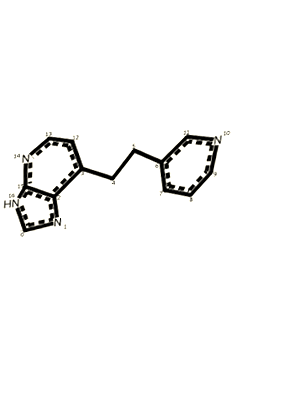 [c]1nc2c(CCc3cccnc3)ccnc2[nH]1